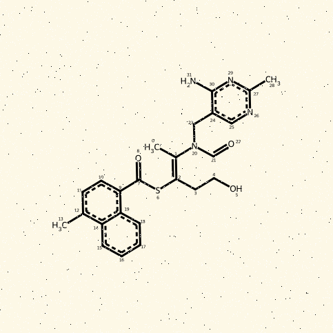 CC(=C(CCO)SC(=O)c1ccc(C)c2ccccc12)N(C=O)Cc1cnc(C)nc1N